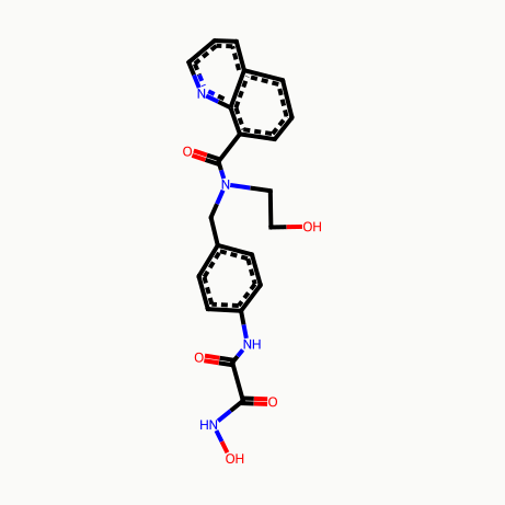 O=C(NO)C(=O)Nc1ccc(CN(CCO)C(=O)c2cccc3cccnc23)cc1